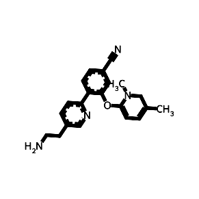 CC1=CC=C(Oc2cc(C#N)ccc2-c2ccc(CCN)cn2)N(C)C1